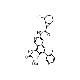 Cc1ccncc1-c1cc2cc(NC(=O)C3C4CCCC(O)C43)ncc2c(NC(=O)OC(C)(C)C)c1F